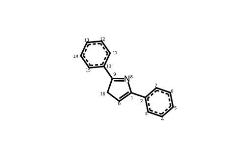 C1=C(c2ccccc2)N=C(c2ccccc2)C1